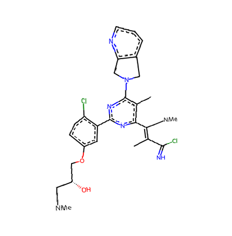 CNC[C@@H](O)COc1ccc(Cl)c(-c2nc(/C(NC)=C(\C)C(=N)Cl)c(C)c(N3Cc4cccnc4C3)n2)c1